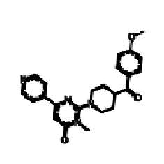 COc1ccc(C(=O)C2CCN(c3nc(-c4ccncc4)cc(=O)n3C)CC2)cc1